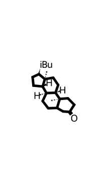 CC[C@@H](C)C1CC[C@H]2[C@@H]3CCC4CC(=O)CC[C@]4(C)[C@@H]3CC[C@]12C